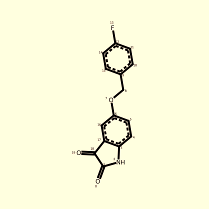 O=C1Nc2ccc(OCc3ccc(F)cc3)cc2C1=O